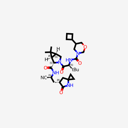 CC(C)(C)[C@H](NC(=O)N1COCC(C2CCC2)C1)C(=O)N1C[C@H]2[C@@H]([C@H]1C(=O)N[C@H](C#N)C[C@@H]1CC3(CC3)NC1=O)C2(C)C